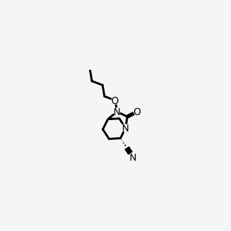 CCCCON1C(=O)N2CC1CC[C@H]2C#N